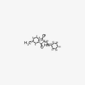 Cc1ccc2c(c1)C(=O)/C(=C\Nc1ccccc1)C2=O